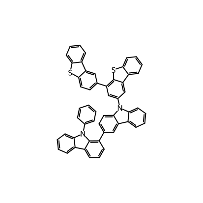 c1ccc(-n2c3ccccc3c3cccc(-c4ccc5c(c4)c4ccccc4n5-c4cc(-c5ccc6sc7ccccc7c6c5)c5sc6ccccc6c5c4)c32)cc1